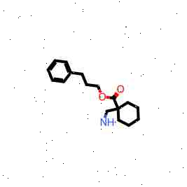 [NH]CC1(C(=O)OCCCc2ccccc2)CCCCC1